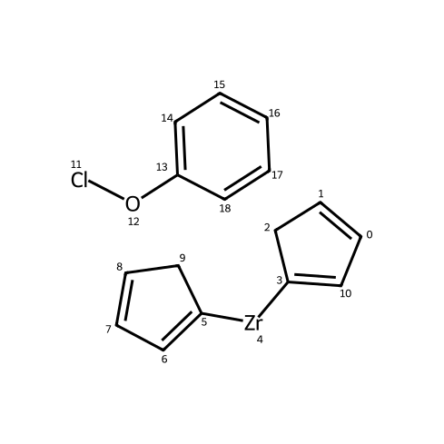 C1=CC[C]([Zr][C]2=CC=CC2)=C1.ClOc1ccccc1